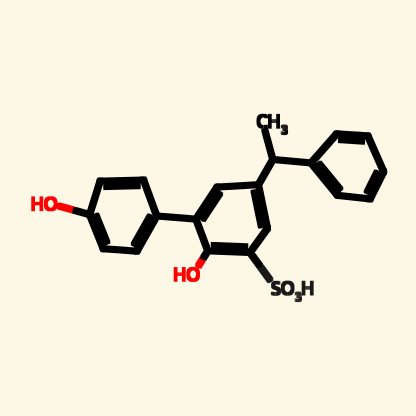 CC(c1ccccc1)c1cc(-c2ccc(O)cc2)c(O)c(S(=O)(=O)O)c1